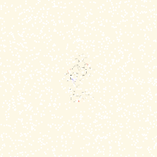 c1ccc2c(c1)ccc1c2oc2cccc(-c3ccc(N(c4ccc(-c5cccc6oc7c8ccccc8ccc7c56)cc4)c4cccc5oc6ccccc6c45)cc3)c21